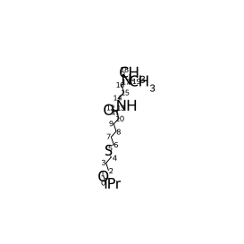 CC(C)OCCCSCCCCCC(=O)NCCCN(C)C